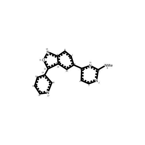 CNc1nccc(-c2ccc3noc(-c4cccnc4)c3c2)n1